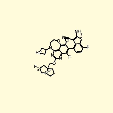 N#Cc1c(N)sc2c(F)ccc(-c3c(Cl)c4c5c(nc(OC[C@@]67CCCN6C[C@H](F)C7)nc5c3F)N(C3CNC3)CCO4)c12